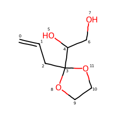 C=CCC1(C(O)CO)OCCO1